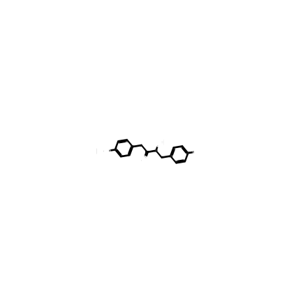 O=C(Cc1ccc(O)cc1)C(O)Cc1ccc(O)cc1